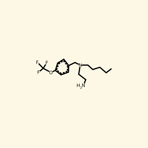 CCCCCN(CCN)Cc1ccc(OC(F)(F)F)cc1